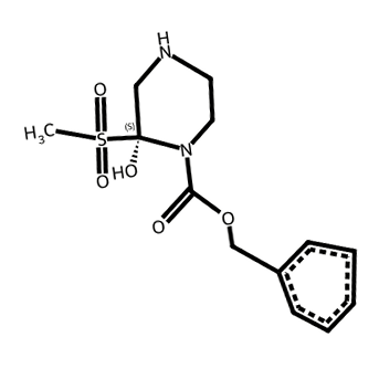 CS(=O)(=O)[C@@]1(O)CNCCN1C(=O)OCc1ccccc1